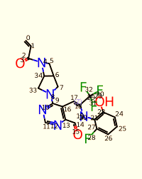 C=CC(=O)N1CC2CN(c3ncnc(C=O)c3/C=C(\N(C)c3c(O)cccc3F)C(F)(F)F)CC21